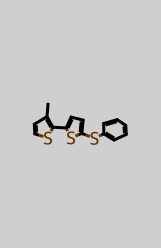 Cc1ccsc1-c1ccc(Sc2ccccc2)s1